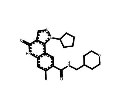 Cc1cc2[nH]c(=O)c3cnn(C4CCCC4)c3c2cc1C(=O)NCC1CCOCC1